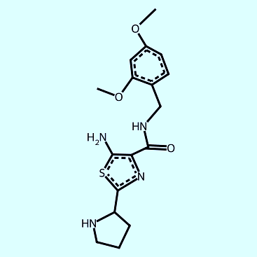 COc1ccc(CNC(=O)c2nc(C3CCCN3)sc2N)c(OC)c1